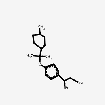 CC1CCC(C(C)(C)Oc2ccc(C(CC(C)(C)C)C(C)C)cc2)CC1